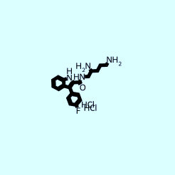 Cl.Cl.NCCCC(N)CNC(=O)c1[nH]c2ccccc2c1-c1ccc(F)cc1